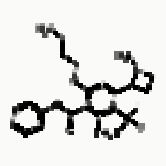 CCCCOc1cc(C2CCN2C)c(C(F)(F)F)c(C)c1C(=O)Oc1ccccc1